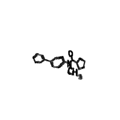 CN(C(=O)C1CCCC1)c1ccc(-c2ccccc2)cc1